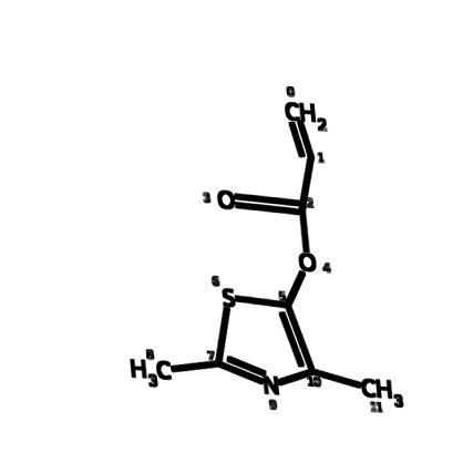 C=CC(=O)Oc1sc(C)nc1C